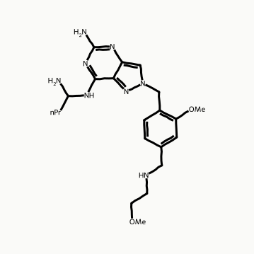 CCCC(N)Nc1nc(N)nc2cn(Cc3ccc(CNCCOC)cc3OC)nc12